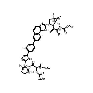 COC(=O)NC(C(=O)N1[C@@H]2CC[C@@H](C2)[C@H]1c1ncc(-c2ccc(-c3ccc4c(ccc5nc([C@@H]6C[C@H]7[C@@H](C)[C@H]7N6C(=O)[C@@H](NC(=O)OC)C(C)C)[nH]c54)c3)cc2F)[nH]1)[C@@H](C)OC